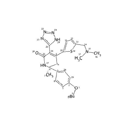 CCCCOc1ccc([C@]2(C)CC(c3ccc(CN(C)C)s3)=C(c3nnn[nH]3)C(=O)N2)cc1